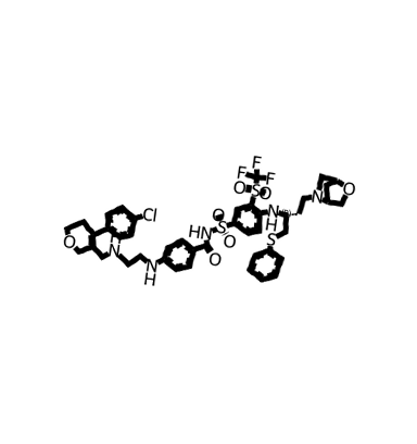 O=C(NS(=O)(=O)c1ccc(N[C@H](CCN2CC3CC2CO3)CSc2ccccc2)c(S(=O)(=O)C(F)(F)F)c1)c1ccc(NCCNCC2=C(c3ccc(Cl)cc3)CCOC2)cc1